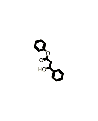 O=C(CC(O)c1ccccc1)Oc1ccccc1